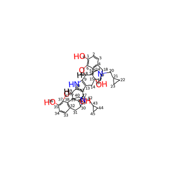 Oc1ccc2c3c1O[C@H]1c4[nH]c5c(c4C[C@@]4(O)C(C2)N(CC2CC2)CCC314)C[C@@]1(O)C2Cc3ccc(O)c4c3C1(CN2CC1CC1)[C@H]5O4